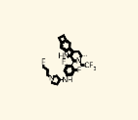 C[C@H]1Cc2c([nH]c3cc4c(cc23)CC4)[C@H](c2c(F)cc(N[C@H]3CCN(CCCF)C3)cc2F)N1CC(F)(F)F